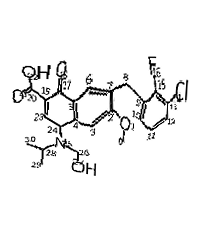 COc1cc2c(cc1Cc1cccc(Cl)c1F)C(=O)C(C(=O)O)=CC2N(CO)C(C)C